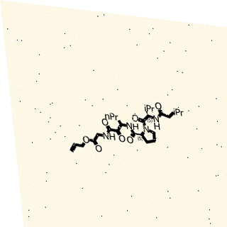 C=CCOC(=O)CNC(=O)C(=O)C(CCC)NC(=O)[C@@H]1CCCN1C(=O)[C@@H](NC(=O)CC(C)C)C(C)C